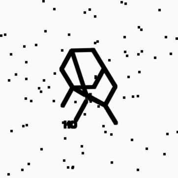 CC12CC3CC(C1)CC(C)(C3)N2O